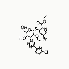 CCOC(=O)c1ncc(Br)cc1SC1OC(CO)C(O)C(n2cc(-c3nc(Cl)cs3)nn2)C1OCC